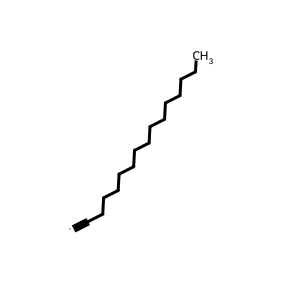 [C]#CCCCCCCCCCCCCCC